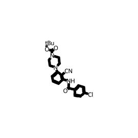 CC(C)(C)OC(=O)N1CCN(c2cccc(NC(=O)c3ccc(Cl)cc3)c2C#N)CC1